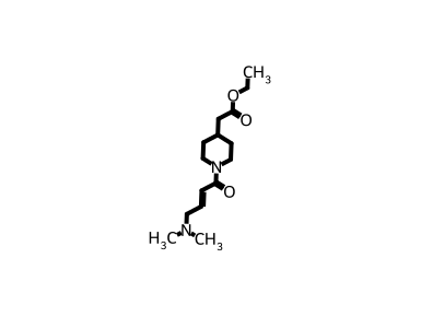 CCOC(=O)CC1CCN(C(=O)/C=C/CN(C)C)CC1